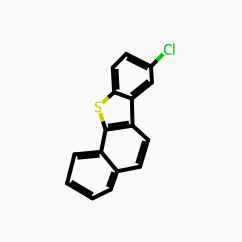 Clc1ccc2sc3c4ccccc4ccc3c2c1